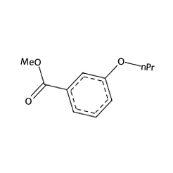 [CH2]CCOc1cccc(C(=O)OC)c1